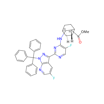 COC(=O)[C@H]1C2CCC(CC2)[C@@H]1Nc1nc(-c2nn(C(c3ccccc3)(c3ccccc3)c3ccccc3)c3ncc(F)cc23)ncc1F